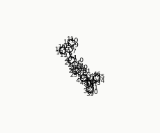 CC1(C)c2cc(C(Cc3ccccc3)c3ccccc3)ccc2-c2ccc3c(c21)C(C)(C)c1cc(N(c2ccccc2)c2ccccc2)ccc1-3